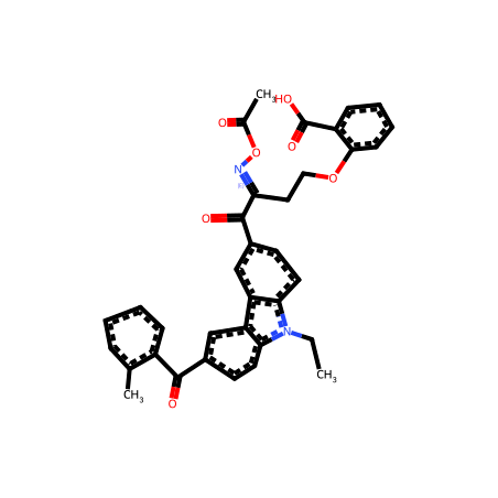 CCn1c2ccc(C(=O)/C(CCOc3ccccc3C(=O)O)=N/OC(C)=O)cc2c2cc(C(=O)c3ccccc3C)ccc21